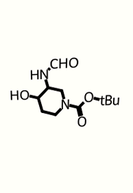 CC(C)(C)OC(=O)N1CCC(O)C(NC=O)C1